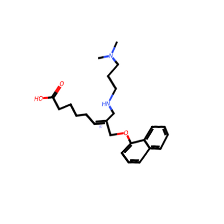 CN(C)CCCNC/C(=C\CCCCC(=O)O)COc1cccc2ccccc12